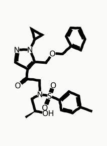 Cc1ccc(S(=O)(=O)N(CC(=O)c2cnn(C3CC3)c2COCc2ccccc2)C[C@H](C)O)cc1